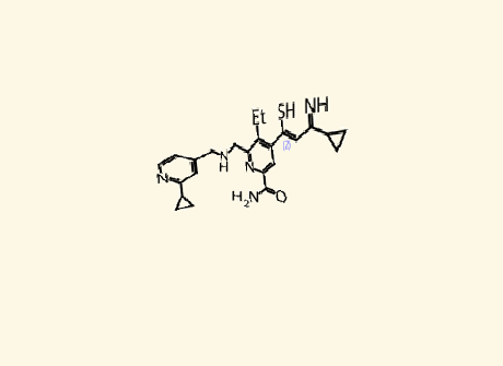 CCc1c(/C(S)=C/C(=N)C2CC2)cc(C(N)=O)nc1CNCc1ccnc(C2CC2)c1